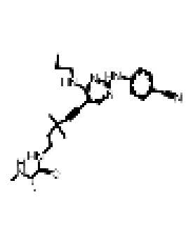 CCCNc1nc(Nc2ccc(C#N)cc2)ncc1C#CC(C)(C)CCNC(=O)[C@H](C)NC